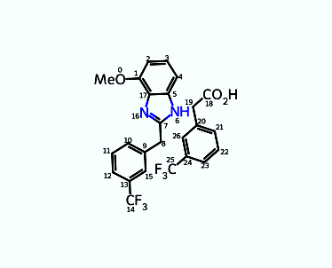 COc1cccc2[nH]c(Cc3cccc(C(F)(F)F)c3)nc12.O=C(O)Cc1cccc(C(F)(F)F)c1